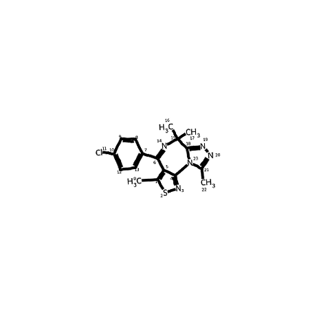 Cc1snc2c1C(c1ccc(Cl)cc1)=NC(C)(C)c1nnc(C)n1-2